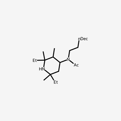 CCCCCCCCCCCCN(C(C)=O)C1CC(C)(CC)NC(C)(CC)C1C